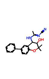 CC(=NC#N)NC1c2cc(-c3ccccc3)ccc2OC(C)(C)C1O